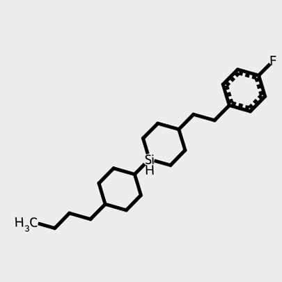 CCCCC1CCC([SiH]2CCC(CCc3ccc(F)cc3)CC2)CC1